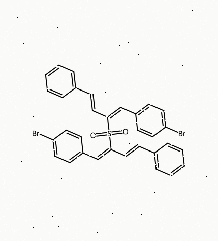 O=S(=O)(C(=C\c1ccc(Br)cc1)/C=C/c1ccccc1)C(=C\c1ccc(Br)cc1)/C=C/c1ccccc1